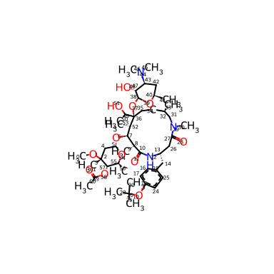 CO[C@]1(C)C[C@H](O[C@@H]2[C@@H](C)C(=O)N[C@@H](Cc3ccc(OC(C)(C)C)cc3)CC(=O)N(C)C[C@H](C)CC[C@@](O[C@@H]3O[C@H](C)C[C@H](N(C)C)[C@H]3O)(C(C)O)[C@H]2C)O[C@@H](C)[C@@H]1OC(C)=O